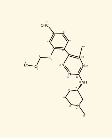 CCOCOc1cc(C=O)ccc1-c1nnc(N[C@@H]2CCCN(C)C2)nc1C